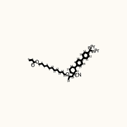 C=CC(=O)OCCCCCCCCCCCOC(C)CC1(C#N)CCCC(c2ccc(-c3ccc(C(CCC)CCC)cc3)cc2)C1